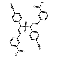 N#Cc1ccc(C(C=Cc2cccc([N+](=O)[O-])c2)S(=O)(=O)C(C=Cc2cccc([N+](=O)[O-])c2)c2ccc(C#N)cc2)cc1